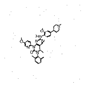 COc1ccc(N2C(=O)N(c3c(C)cccc3C)C(C)c3cnc(Nc4ccc(C5CCN(C)CC5)cc4OC)nc32)nc1